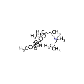 CC(=CC=C[C@@]1(C)CCc2cc(OC(=O)NS(=O)(=O)c3ccc(C)cc3)cc(C)c2O1)CC/C=C(\C)CCCC(C)C